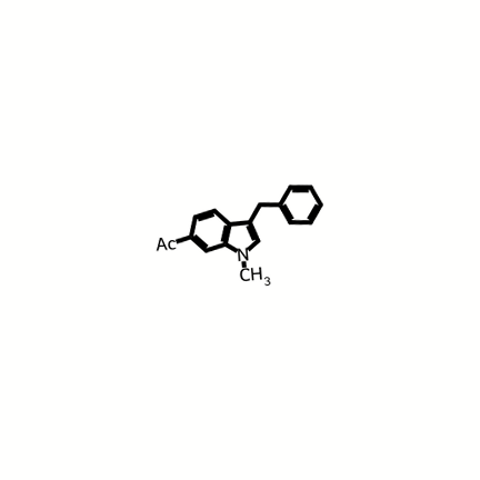 CC(=O)c1ccc2c(Cc3ccccc3)cn(C)c2c1